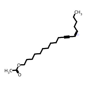 CCCC/C=C\C#CCCCCCCCCCCOC(C)=O